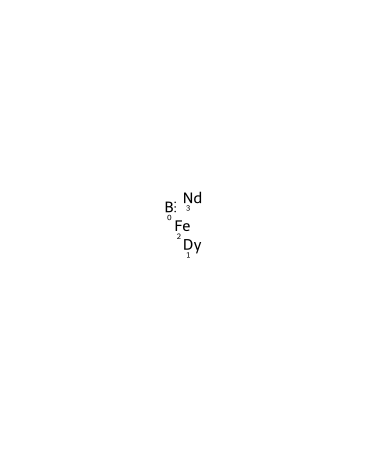 [B].[Dy].[Fe].[Nd]